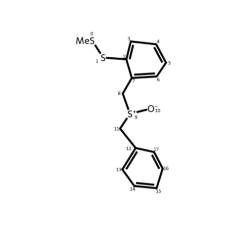 CSSc1ccccc1C[S+]([O-])Cc1ccccc1